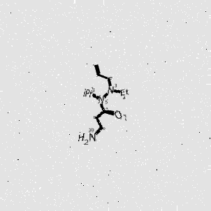 C=CCN(CC)N(C(=O)CCN)C(C)C